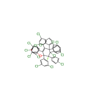 FC1(c2ccc(Cl)cc2)C(Oc2ccc(Cl)c(Cl)c2)(c2cc(Cl)cc(Cl)c2)C(c2cccc(Cl)c2Cl)=C(c2ccc(Cl)cc2Cl)C(c2ccccc2Cl)(c2cc(Cl)ccc2Cl)C1(Cl)c1cccc(Cl)c1